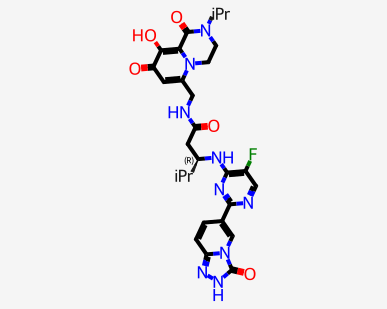 CC(C)[C@@H](CC(=O)NCc1cc(=O)c(O)c2n1CCN(C(C)C)C2=O)Nc1nc(-c2ccc3n[nH]c(=O)n3c2)ncc1F